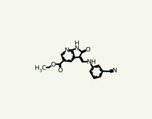 CCOC(=O)c1cnc2c(c1)C(=CNc1cccc(C#N)c1)C(=O)N2